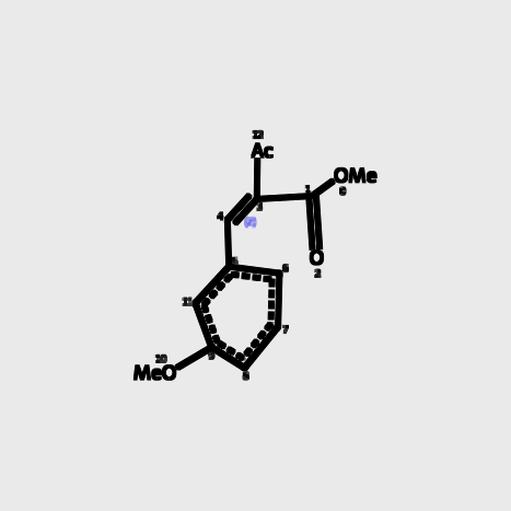 COC(=O)/C(=C\c1cccc(OC)c1)C(C)=O